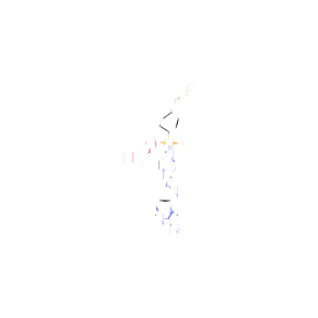 CN(C)c1ncc2sc(N3CCN(S(=O)(=O)c4ccc(OC(F)(F)F)cc4)[C@@H](C(=O)O)C3)nc2n1